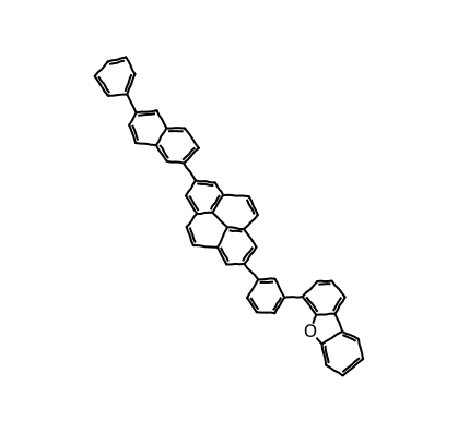 c1ccc(-c2ccc3cc(-c4cc5ccc6cc(-c7cccc(-c8cccc9c8oc8ccccc89)c7)cc7ccc(c4)c5c67)ccc3c2)cc1